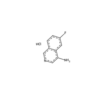 Cl.Nc1cncc2ccc(F)cc12